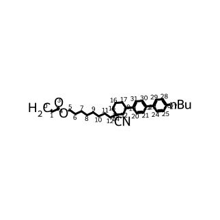 C=CC(=O)OCCCCCCCCC1(C#N)CCCC(c2ccc(-c3ccc(CCCC)cc3)cc2)C1